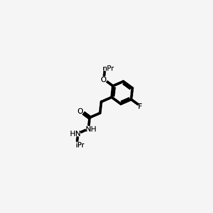 CCCOc1ccc(F)cc1CCC(=O)NNC(C)C